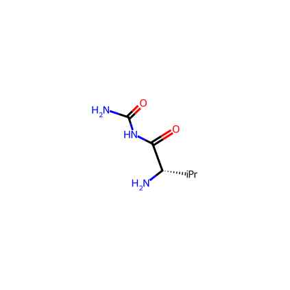 CC(C)[C@H](N)C(=O)NC(N)=O